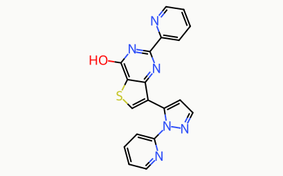 Oc1nc(-c2ccccn2)nc2c(-c3ccnn3-c3ccccn3)csc12